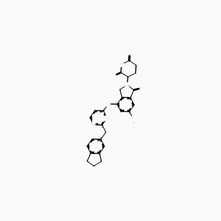 O=C1CCC(N2Cc3c(Nc4ccnc(Cc5ccc6c(c5)CCC6)n4)cc(O)cc3C2=O)C(=O)N1